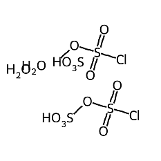 O.O.O=S(=O)(O)OS(=O)(=O)Cl.O=S(=O)(O)OS(=O)(=O)Cl